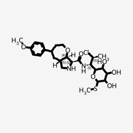 COc1ccc(C2CCO[C@@H]3[C@H](CN[C@@H]3C(=O)N[C@@H](C3OC(SC)C(O)C(O)C3O)[C@H](C)Cl)C2)cc1